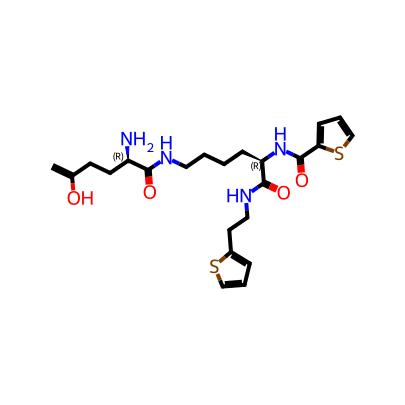 C=C(O)CC[C@@H](N)C(=O)NCCCC[C@@H](NC(=O)c1cccs1)C(=O)NCCc1cccs1